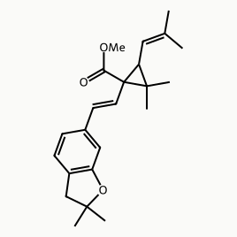 COC(=O)C1(C=Cc2ccc3c(c2)OC(C)(C)C3)C(C=C(C)C)C1(C)C